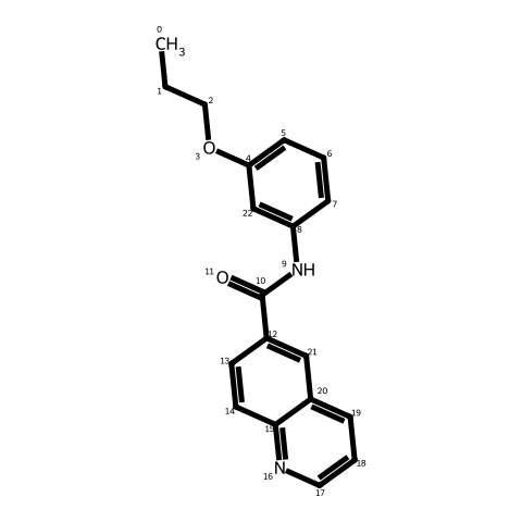 CCCOc1cccc(NC(=O)c2ccc3ncccc3c2)c1